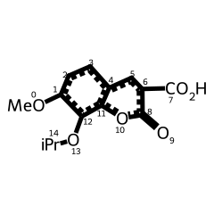 COc1ccc2cc(C(=O)O)c(=O)oc2c1OC(C)C